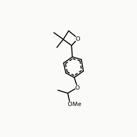 COC(C)Oc1ccc(C2OCC2(C)C)cc1